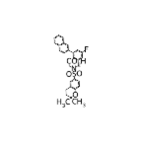 CC1(C)CCc2cc(S(=O)(=O)N(CC(=O)O)Cc3cc(F)cc(-c4ccc5ccccc5c4)c3)ccc2O1